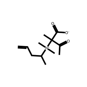 C=CCC(C)[N+](C)(C)C(C)(C(C)=O)C(=O)[O-]